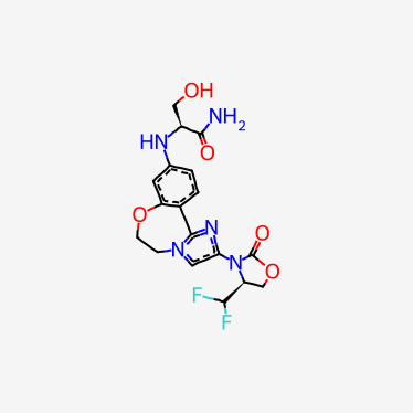 NC(=O)[C@H](CO)Nc1ccc2c(c1)OCCn1cc(N3C(=O)OC[C@H]3C(F)F)nc1-2